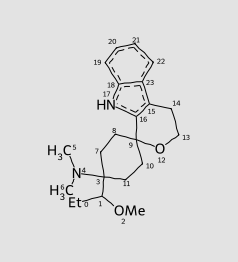 CCC(OC)C1(N(C)C)CCC2(CC1)OCCc1c2[nH]c2ccccc12